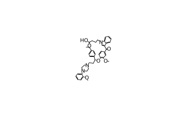 CCc1ccc(C(CCN2CCN(c3ccccc3OC)CC2)Oc2ccc(C(=O)c3cn(CCCC(=O)O)c4ccccc34)cc2OC)cc1